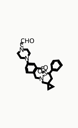 O=CCN1CCN(c2ccc(CN3CC4(CC4)CC(c4ccccc4)S3(=O)=O)c(F)c2)CC1